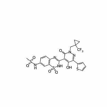 CS(=O)(=O)Nc1ccc2c(c1)S(=O)(=O)NC(c1c(O)c(-c3cccs3)nn(CC3(C(F)(F)F)CC3)c1=O)=N2